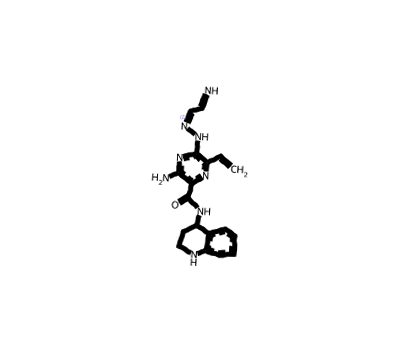 C=Cc1nc(C(=O)NC2CCNc3ccccc32)c(N)nc1N/N=C\C=N